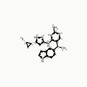 C[C@@H](c1ccc2[nH]ccc2c1)c1cnc(N)nc1Nc1cc([C@@H]2C[C@@H]2F)[nH]n1